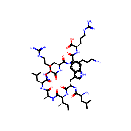 CC[C@H](C)[C@H](NC(=O)[C@H](Cc1c[nH]c2ccccc12)NC(=O)[C@@H](N)CC(C)C)C(=O)N[C@@H](C)C(=O)N[C@@H](CC(C)C)C(=O)N[C@@H](CCCNC(=N)N)C(=O)N[C@@H](CCCCN)C(=O)N[C@@H](CCCCN)C(=O)N[C@@H](CCCNC(=N)N)C(=O)O